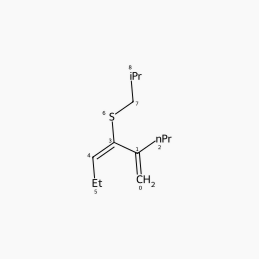 C=C(CCC)/C(=C\CC)SCC(C)C